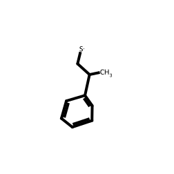 CC(C[S])c1ccccc1